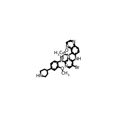 COc1cc(C2CCNCC2)ccc1Nc1ncc(Br)c(Nc2ccc3nccnc3c2NS(C)(=O)=O)n1